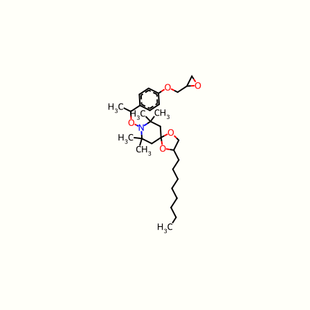 CCCCCCCCC1COC2(CC(C)(C)N(OC(C)c3ccc(OCC4CO4)cc3)C(C)(C)C2)O1